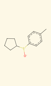 Cc1ccc([S+]([O-])C2CCCC2)cc1